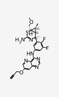 C#CCOc1cnc2c(Nc3cc(F)c(F)c([C@@]4(C)N=C(N)S[C@]5(COC)[C@H]4[C@@H]5C)c3)ncnc2c1